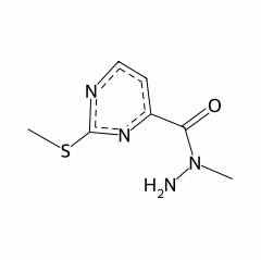 CSc1nccc(C(=O)N(C)N)n1